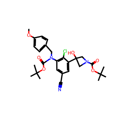 COc1ccc(CN(C(=O)OC(C)(C)C)c2cc(C#N)cc(C3(O)CN(C(=O)OC(C)(C)C)C3)c2Cl)cc1